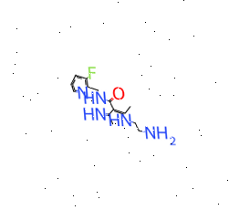 CC(=N)/C(C(=O)NCc1ncccc1F)=C(/C)NCCN